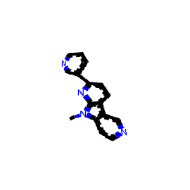 Cn1c2ccncc2c2ccc(-c3cccnc3)nc21